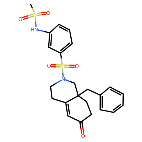 CS(=O)(=O)Nc1cccc(S(=O)(=O)N2CCC3=CC(=O)CCC3(Cc3ccccc3)C2)c1